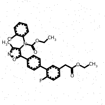 CCOC(=O)Cc1ccc(F)c(-c2ccc(-c3onc(C)c3N(C(=O)OCC)c3ccccc3Cl)cc2)c1